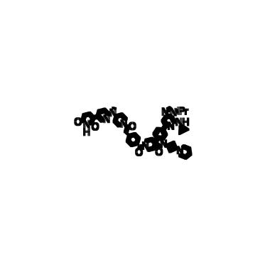 CC(C)n1cnc2cc(-c3ccc4c(c3)N([C@H]3C[C@@H](N5CCCCC5)C3)C(=O)C43CCN(C(=O)[C@H]4CC[C@H](CC(=O)N5CCC(N(C)c6ccc(C7CCC(=O)NC7=O)cn6)CC5)CC4)CC3)nc(NC3CC3)c21